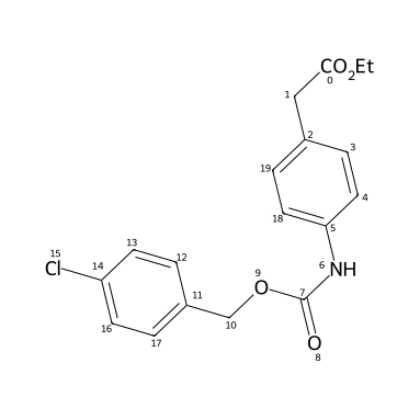 CCOC(=O)Cc1ccc(NC(=O)OCc2ccc(Cl)cc2)cc1